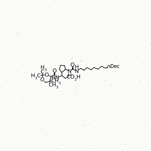 CCCCCCCCCCCCCCCCCCNC(=O)NC1CCCC1C(CC(=O)O)NC(=O)C1OC(C)(C)OCC1(C)C